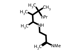 C=C(CCNC(C)C(C)C(C)(C)CCC)NC